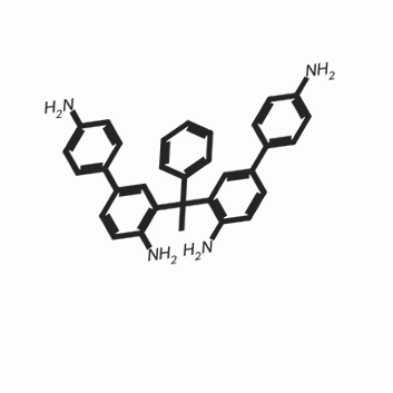 CC(c1ccccc1)(c1cc(-c2ccc(N)cc2)ccc1N)c1cc(-c2ccc(N)cc2)ccc1N